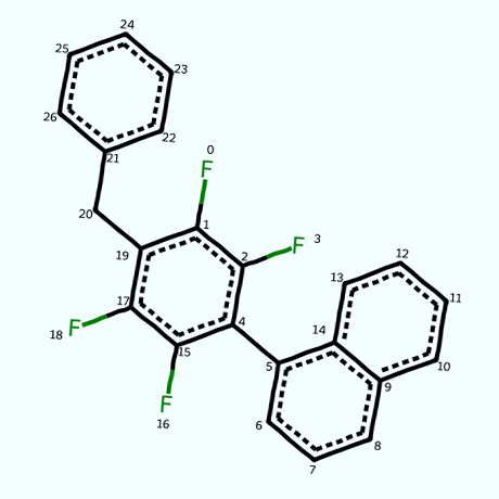 Fc1c(F)c(-c2cccc3ccccc23)c(F)c(F)c1Cc1ccccc1